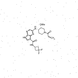 C=CC(=O)N1CC[C@H](Nc2cnc3[nH]cc(C(=O)NC4CC(F)(F)C4)c3n2)[C@H](OC)C1